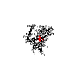 CC[C@H](C)[C@H](NC(=O)[C@H](CC(C)C)NC(=O)[C@H](C)NC(=O)[C@H](CCC(N)=O)NC(=O)[C@H](CC(N)=O)NC(=O)[C@@H]1CCCN1C(=O)[C@@H](NC(=O)[C@@H](NC(=O)[C@@H](N)CCCNC(=N)N)C(C)C)C(C)C)C(=O)NCC(=O)N[C@@H](CC(C)C)C(=O)N[C@H](C(=O)N[C@@H](CC(C)C)C(=O)N[C@@H](C)C(=O)NCC(=O)N[C@@H](CC(C)C)C(=O)O)[C@@H](C)O